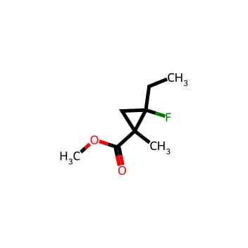 CCC1(F)CC1(C)C(=O)OC